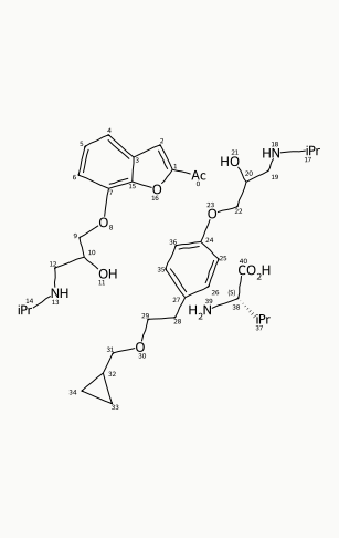 CC(=O)c1cc2cccc(OCC(O)CNC(C)C)c2o1.CC(C)NCC(O)COc1ccc(CCOCC2CC2)cc1.CC(C)[C@H](N)C(=O)O